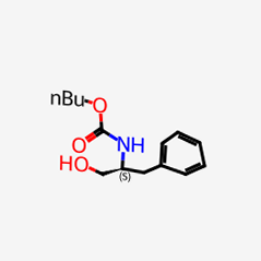 CCCCOC(=O)N[C@H](CO)Cc1ccccc1